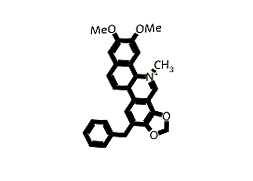 COc1cc2c(cc1OC)C1C(C=C2)c2cc(Cc3ccccc3)c3c(c2C=[N+]1C)OCO3